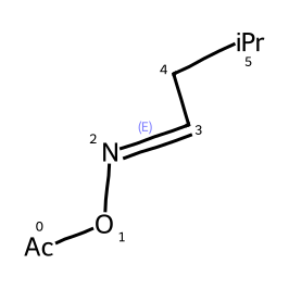 CC(=O)O/N=C/CC(C)C